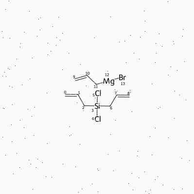 C=CC[Si](Cl)(Cl)CC=C.C=C[CH2][Mg][Br]